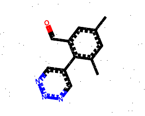 Cc1cc(C)c(-c2cnnnc2)c(C=O)c1